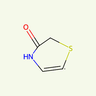 O=C1CS[C]=CN1